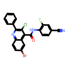 N#Cc1ccc(NC(=O)c2c(Cl)c(-c3ccccc3)nc3ccc(Br)cc23)c(F)c1